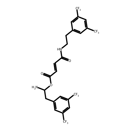 NC(Cc1cc(C(F)(F)F)cc(C(F)(F)F)c1)OC(=O)/C=C/C(=O)NCCc1cc(C(F)(F)F)cc(C(F)(F)F)c1